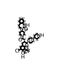 O=C(C[C@H](Cc1cc(Cl)c(O)c(C(F)(F)F)c1)C(=O)N1CCN(C2CCNCC2)CC1)N1CCC(N2CCc3ccccc3NC2=O)CC1